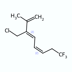 C=C(C)/C(=C/C=C\CC(F)(F)F)CCl